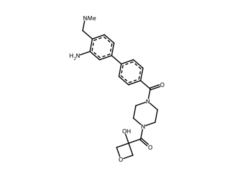 CNCc1ccc(-c2ccc(C(=O)N3CCN(C(=O)C4(O)COC4)CC3)cc2)cc1N